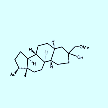 COCC1(O)CC[C@H]2[C@@H](CC[C@@H]3[C@@H]2CC[C@]2(C)[C@@H](C(C)=O)CC[C@@H]32)C1